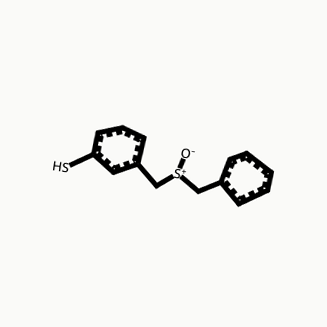 [O-][S+](Cc1ccccc1)Cc1cccc(S)c1